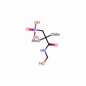 COC(CP(=O)(O)O)(OC)C(=O)NCO